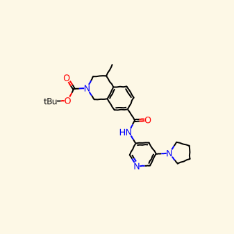 CC1CN(C(=O)OC(C)(C)C)Cc2cc(C(=O)Nc3cncc(N4CCCC4)c3)ccc21